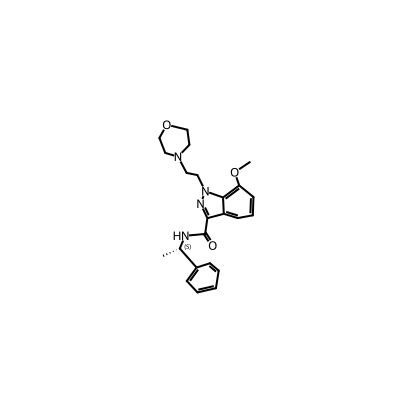 COc1cccc2c(C(=O)N[C@@H](C)c3ccccc3)nn(CCN3CCOCC3)c12